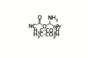 CC(=O)O.CC(=O)O.CCCC(N)OC(=O)C#N